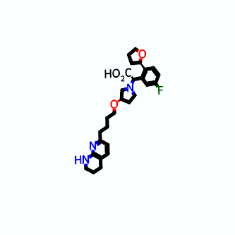 O=C(O)[C@@H](c1cc(F)ccc1[C@H]1CCCO1)N1CC[C@@H](OCCCCc2ccc3c(n2)NCCC3)C1